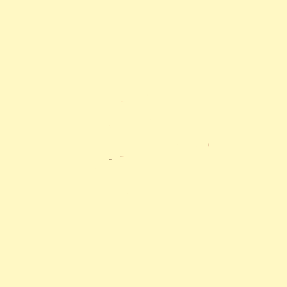 Cc1ccc(/C=C/C(=O)[O-])cc1.Cc1ccc(/C=C/C(=O)[O-])cc1.[Zn+2]